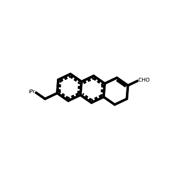 CC(C)Cc1ccc2cc3c(cc2c1)CCC(C=O)=C3